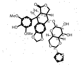 [2H][C@@]1(c2cc(OC)c(O)c(OC)c2)c2cc3c(cc2[C@@H](O[C@@H]2O[C@@H]4CO[C@@H](c5cccs5)O[C@H]4[C@H](O)[C@H]2O)[C@H]2COC(=O)[C@@]21[2H])OCO3